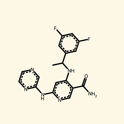 CC(Nc1cc(Nc2cnccn2)ncc1C(N)=O)c1cc(F)cc(F)c1